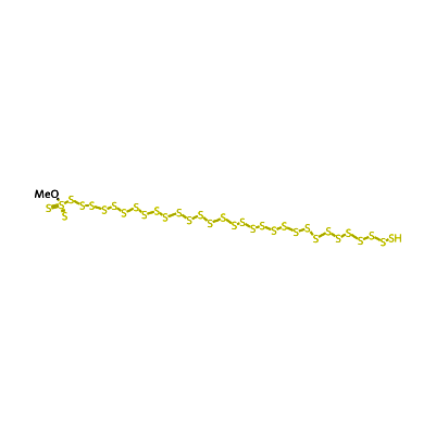 COS(=S)(=S)SSSSSSSSSSSSSSSSSSSSSSSSSSSSSSS